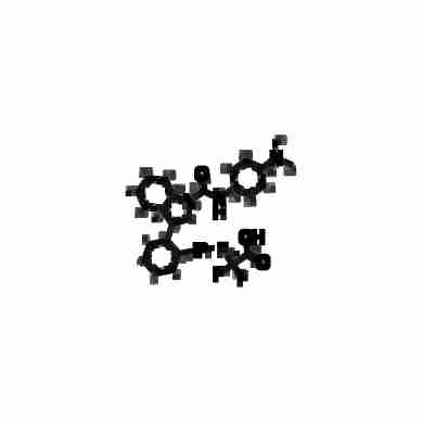 CC(C)c1ccccc1-c1cn(C(=O)Nc2ccc(N(C)C)cc2)c2ccccc12.O=C(O)C(F)(F)F